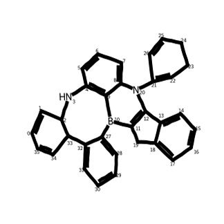 C1=CC2Nc3cccc4c3B(C3=C(c5ccccc5C3)N4C3=CCCC=C3)c3ccccc3C2C=C1